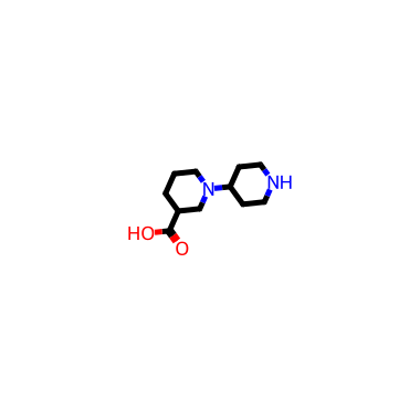 O=C(O)C1CCCN(C2CCNCC2)C1